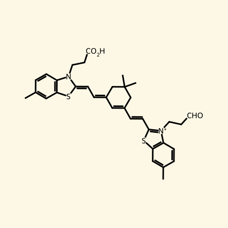 Cc1ccc2c(c1)S/C(=C\C=C1C=C(/C=C/c3sc4cc(C)ccc4[n+]3CCC=O)CC(C)(C)C\1)N2CCC(=O)O